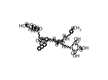 COc1ccc(CCCC(=O)NCC(=O)N[C@@H](CCCCNCCN2CCN(CC(=O)O)CCN(CC(=O)O)CCN(CC(=O)O)CC2)C(=O)NCC(=O)NCC2CCC(C(=O)N[C@@H](Cc3c4ccccc4cc4ccccc34)C(=O)NCCCC[C@H](NC(=O)N[C@@H](CCCC(=O)O)C(=O)O)C(=O)O)CC2)cc1